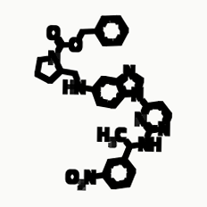 CC(Nc1nccc(-n2cnc3cc(NCC4CCCN4C(=O)OCc4ccccc4)ccc32)n1)c1cccc([N+](=O)[O-])c1